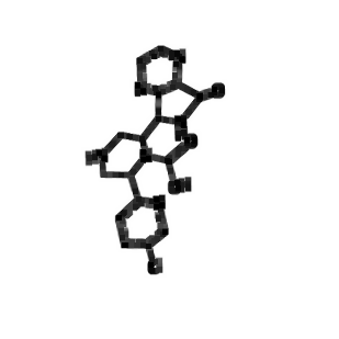 O=C1NC(C2CNCC(c3ccc(Cl)cn3)N2C(=O)O)c2nccnc21